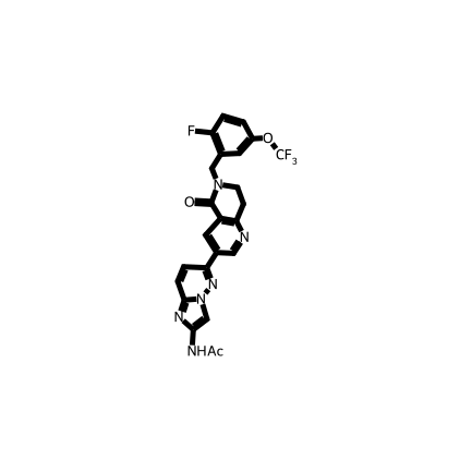 CC(=O)Nc1cn2nc(-c3cnc4c(c3)C(=O)N(Cc3cc(OC(F)(F)F)ccc3F)CC4)ccc2n1